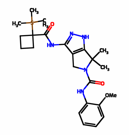 COc1ccccc1NC(=O)N1Cc2c(NC(=O)C3(S(C)(C)C)CCC3)n[nH]c2C1(C)C